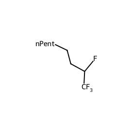 CCCCCCCC(F)C(F)(F)F